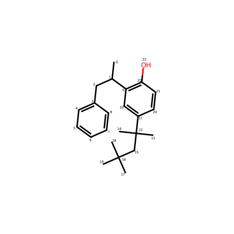 CC(Cc1ccccc1)c1cc(C(C)(C)CC(C)(C)C)ccc1O